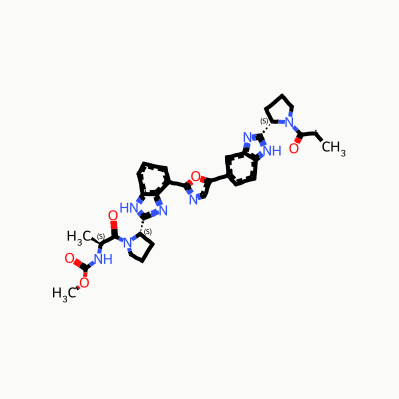 C[CH]C(=O)N1CCC[C@H]1c1nc2cc(-c3cnc(-c4cccc5[nH]c([C@@H]6CCCN6C(=O)[C@H](C)NC(=O)OC)nc45)o3)ccc2[nH]1